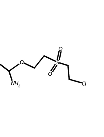 CC(N)OCCS(=O)(=O)CCCl